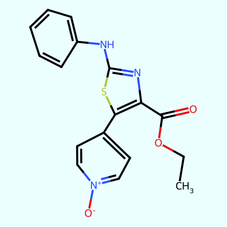 CCOC(=O)c1nc(Nc2ccccc2)sc1-c1cc[n+]([O-])cc1